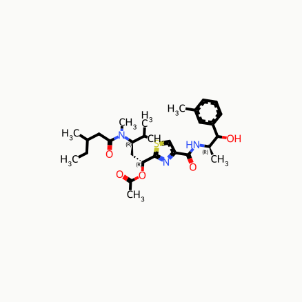 CCC(C)CC(=O)N(C)[C@H](C[C@@H](OC(C)=O)c1nc(C(=O)N[C@H](C)C(O)c2cccc(C)c2)cs1)C(C)C